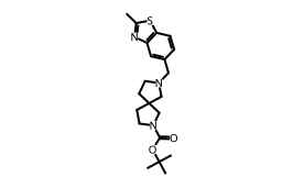 Cc1nc2cc(CN3CCC4(CCN(C(=O)OC(C)(C)C)C4)C3)ccc2s1